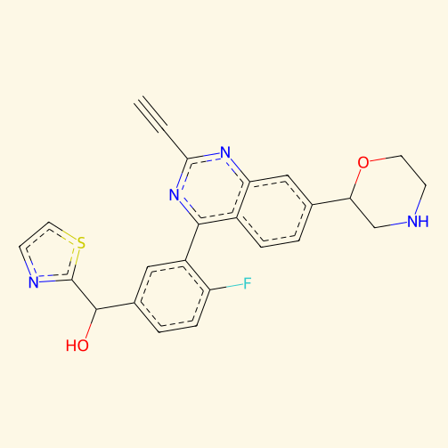 C#Cc1nc(-c2cc(C(O)c3nccs3)ccc2F)c2ccc(C3CNCCO3)cc2n1